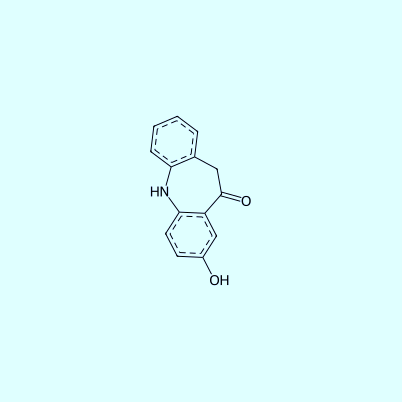 O=C1Cc2ccccc2Nc2ccc(O)cc21